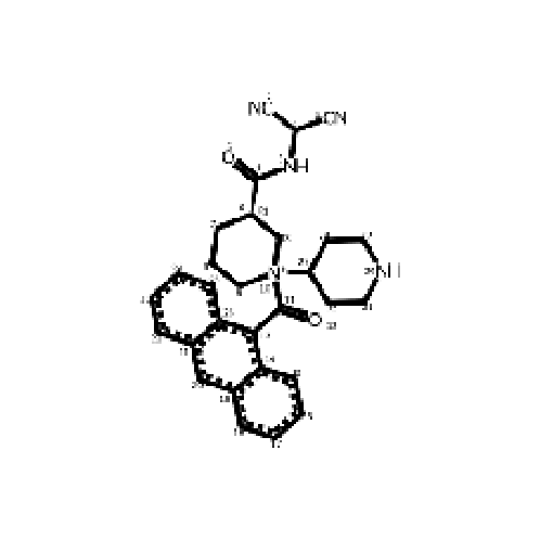 N#CC(C#N)NC(=O)[C@@H]1CCC[N+](C(=O)c2c3ccccc3cc3ccccc23)(C2CCNCC2)C1